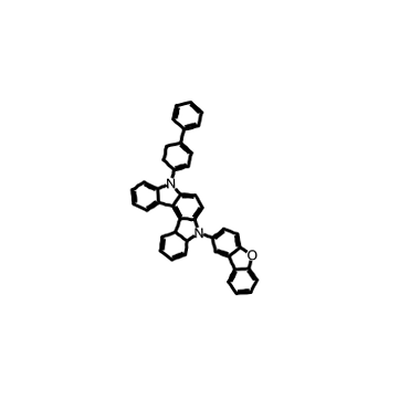 C1=CC2c3c(ccc4c3c3ccccc3n4C3=CC=C(c4ccccc4)CC3)N(c3ccc4oc5ccccc5c4c3)C2C=C1